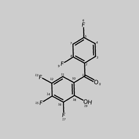 O=C(c1ccc(F)cc1F)c1cc(F)c(F)c(F)c1O